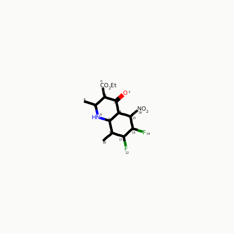 CCOC(=O)C1C(=O)C2C(NC1C)C(C)C(F)C(F)C2[N+](=O)[O-]